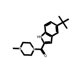 CN1CCN(C(=O)c2cc3cc(C(C)(C)C)ccc3[nH]2)CC1